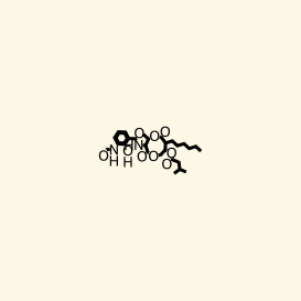 CCCCCCC1C(=O)OC(C)C(NC(=O)c2cccc(NC=O)c2O)C(=O)OCC1OC(=O)CC(C)C